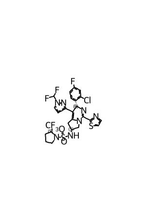 O=S(=O)(N[C@H]1CC2=C(c3ccn(C(F)F)n3)[C@H](c3ccc(F)cc3Cl)N=C(c3nccs3)N2C1)N1CCC[C@H]1C(F)(F)F